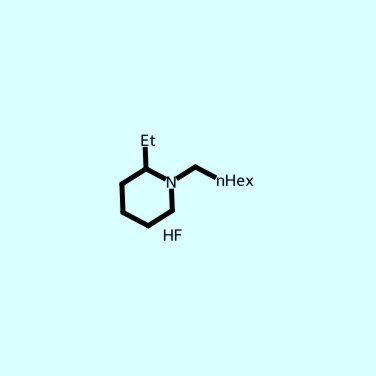 CCCCCCCN1CCCCC1CC.F